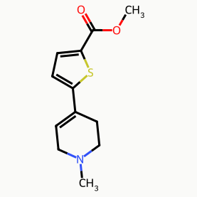 COC(=O)c1ccc(C2=CCN(C)CC2)s1